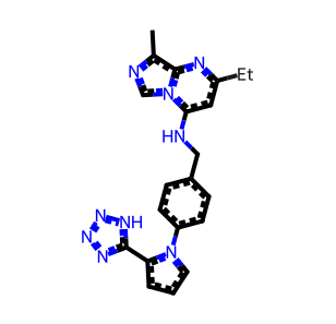 CCc1cc(NCc2ccc(-n3cccc3-c3nnn[nH]3)cc2)n2cnc(C)c2n1